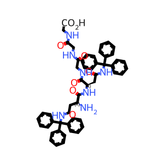 N[C@H](CC(=O)NC(c1ccccc1)(c1ccccc1)c1ccccc1)C(=O)N[C@H](CC(=O)NC(c1ccccc1)(c1ccccc1)c1ccccc1)C(=O)NCC(=O)NCC(=O)NCC(=O)O